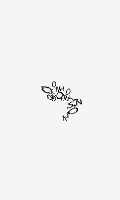 CN(C)CCOc1ncc(CNC(=O)c2ccc3c(c2)NC(=O)c2ccccc2S3(=O)=O)s1